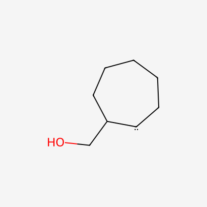 OCC1[C]CCCCC1